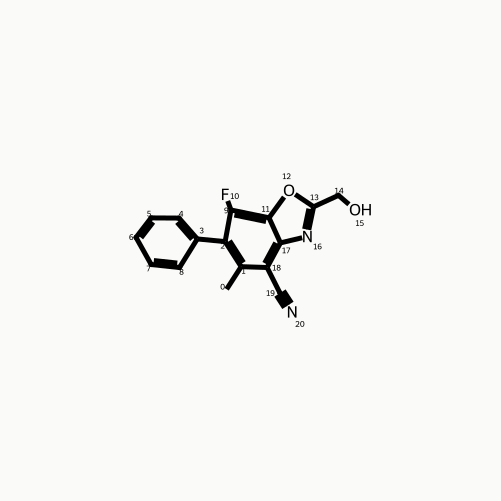 Cc1c(-c2ccccc2)c(F)c2oc(CO)nc2c1C#N